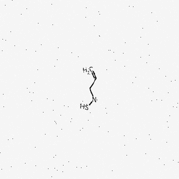 C=CC[N]S